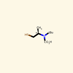 C[C@H](CS)N(C(=O)O)C(C)(C)C